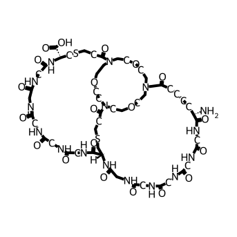 N[C@H]1CCCCC(=O)N2CCOCCN3CCOCCN(CCOCC2)C(=O)CCSC[C@H](NC(=O)CNC(=O)CNC(=O)CNC(=O)CNC(=O)CNC1=O)C(=O)NCC(=O)NCC(=O)NCC(=O)NCC(=O)NCC(=O)N[C@H](C(=O)O)CSCCC3=O